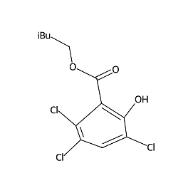 CCC(C)COC(=O)c1c(O)c(Cl)cc(Cl)c1Cl